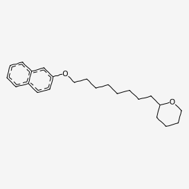 c1ccc2cc(OCCCCCCCCC3CCCCO3)ccc2c1